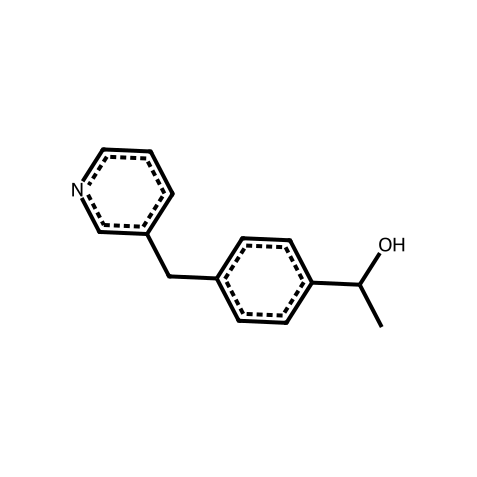 CC(O)c1ccc(Cc2cccnc2)cc1